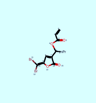 C=CC(=O)OC(CCC)C1=CC(=C(Br)Br)OC1=O